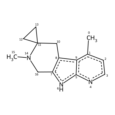 Cc1ccnc2[nH]c3c(c12)CC1(CC1)N(C)C3